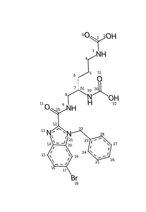 O=C(O)NCCC[C@@H](CNC(=O)c1nc2ccc(Br)cc2n1Cc1ccccc1)NC(=O)O